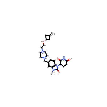 Cn1c(=O)n(C2CCC(=O)NC2=O)c2ccc(CN3CCN(CCO[C@H]4C[C@H](C)C4)CC3)cc21